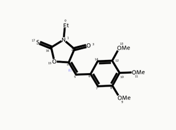 CCN1C(=O)/C(=C\c2cc(OC)c(OC)c(OC)c2)OC1=S